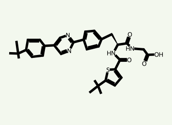 CC(C)(C)c1ccc(-c2cnc(-c3ccc(C[C@H](NC(=O)c4ccc(C(C)(C)C)s4)C(=O)NCC(=O)O)cc3)nc2)cc1